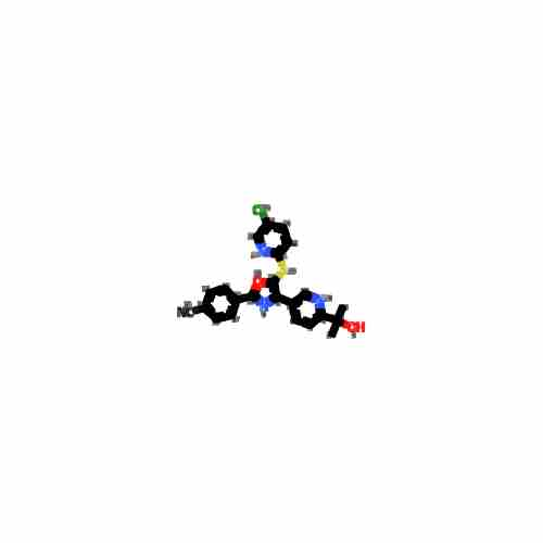 CC(C)(O)c1ccc(-c2nc(-c3ccc(C#N)cc3)oc2Sc2ccc(Cl)cn2)cn1